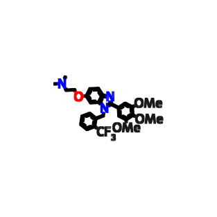 COc1cc(-c2nc3ccc(OCCN(C)C)cc3n2Cc2ccccc2C(F)(F)F)cc(OC)c1OC